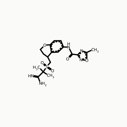 Cc1nc(C(=O)Nc2ccc3c(c2)C(CS(=O)(=O)C(C)(C)C(=N)N)CCO3)no1